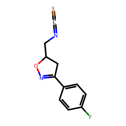 Fc1ccc(C2=NOC(CN=C=S)C2)cc1